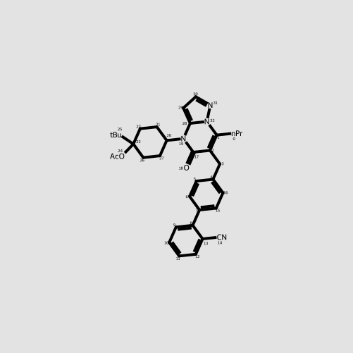 CCCc1c(Cc2ccc(-c3ccccc3C#N)cc2)c(=O)n(C2CCC(OC(C)=O)(C(C)(C)C)CC2)c2ccnn12